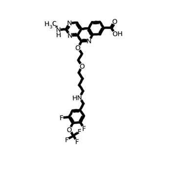 CNc1ncc2c(n1)c(OCCOCCCCNCc1cc(F)c(OC(F)(F)F)c(F)c1)nc1cc(C(=O)O)ccc12